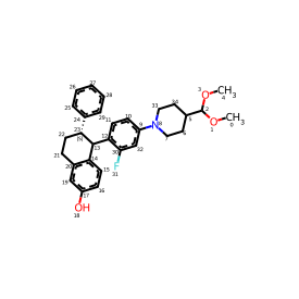 COC(OC)C1CCN(c2ccc(C3c4ccc(O)cc4CC[C@@H]3c3ccccc3)c(F)c2)CC1